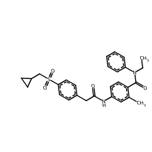 CCN(C(=O)c1ccc(NC(=O)Cc2ccc(S(=O)(=O)CC3CC3)cc2)cc1C)c1ccccc1